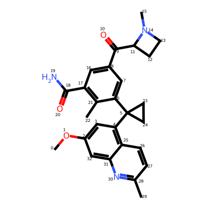 COc1cc(C2(c3cc(C(=O)C4CCN4C)cc(C(N)=O)c3C)CC2)c2ccc(C)nc2c1